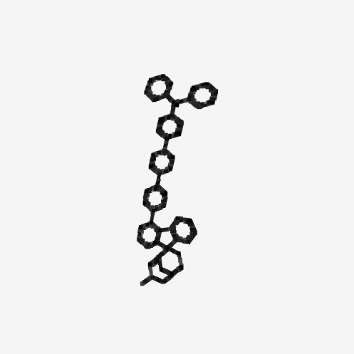 CC1C=C2CC(CCC23c2ccccc2-c2c(-c4ccc(-c5ccc(-c6ccc(N(c7ccccc7)c7ccccc7)cc6)cc5)cc4)cccc23)C1